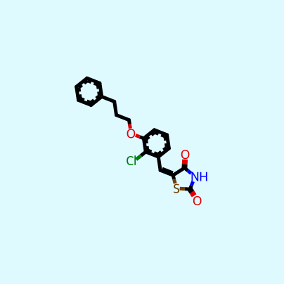 O=C1NC(=O)/C(=C\c2cccc(OCCCc3ccccc3)c2Cl)S1